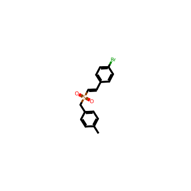 Cc1ccc(CS(=O)(=O)C=Cc2ccc(Br)cc2)cc1